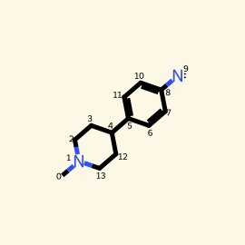 CN1CCC(c2ccc([N])cc2)CC1